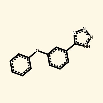 c1ccc(Oc2cccc(-c3nnn[nH]3)c2)cc1